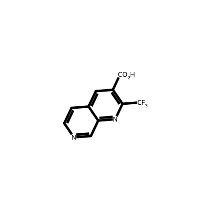 O=C(O)c1cc2ccncc2nc1C(F)(F)F